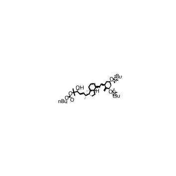 C=C1/C(=C\C=C2/CCC[C@]3(C)[C@@H]([C@H](C)/C=C/[C@@H](O)C(C)(C)OC(=O)OCCCC)CC[C@@H]23)C[C@@H](O[Si](C)(C)C(C)(C)C)C[C@@H]1O[Si](C)(C)C(C)(C)C